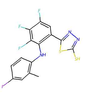 Cc1cc(I)ccc1Nc1c(-c2nnc(S)s2)cc(F)c(F)c1F